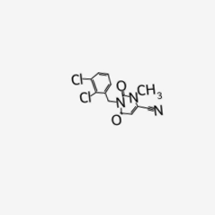 Cn1c(C#N)cc(=O)n(Cc2cccc(Cl)c2Cl)c1=O